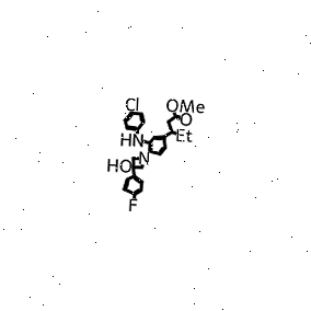 CCC(CC(=O)OC)c1ccc(N2CC(O)(c3ccc(F)cc3)C2)c(Nc2ccc(Cl)cc2)c1